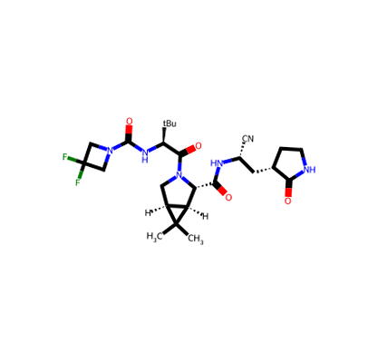 CC(C)(C)[C@H](NC(=O)N1CC(F)(F)C1)C(=O)N1C[C@H]2[C@@H]([C@H]1C(=O)N[C@H](C#N)C[C@@H]1CCNC1=O)C2(C)C